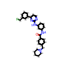 O=C(Nc1cccc(Nc2nccc(-c3cccc(CF)c3)n2)c1)c1ccc(CN2CCCCC2)cc1